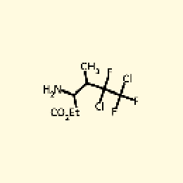 CCOC(=O)C(N)C(C)C(F)(Cl)C(F)(F)Cl